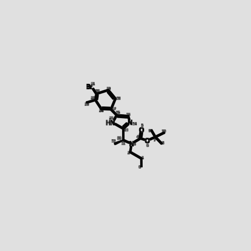 CCCN(C(=O)OC(C)(C)C)[C@@H](C)c1ncc(-c2ccc(Br)c(C)c2)[nH]1